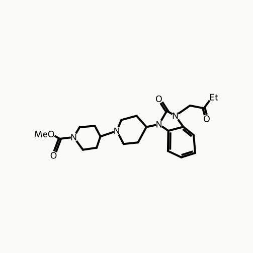 CCC(=O)Cn1c(=O)n(C2CCN(C3CCN(C(=O)OC)CC3)CC2)c2ccccc21